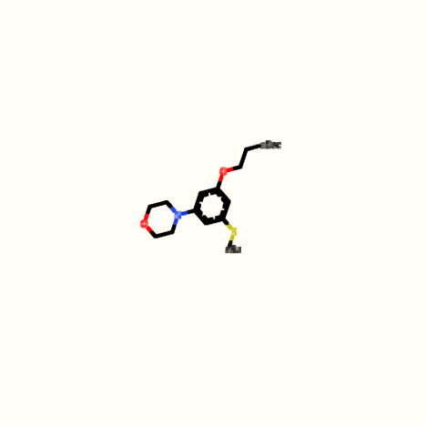 CCCCCCCCCCCCOc1cc(SCCCC)cc(N2CCOCC2)c1